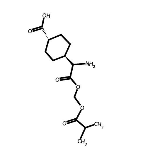 CC(C)C(=O)OCOC(=O)C(N)[C@H]1CC[C@H](C(=O)O)CC1